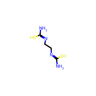 NC(S)=NCCN=C(N)S